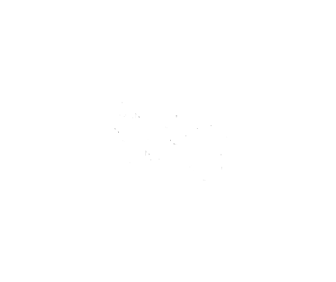 C=C1NC(=O)NC(C(=O)NC2CCCc3ccsc32)=C1N